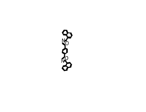 c1ccc2c(-c3ncc(-c4ccc(-c5cnc(-c6cccc7ccccc67)o5)cc4)o3)cccc2c1